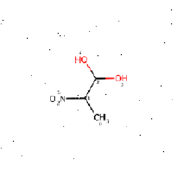 CC(C(O)O)[N+](=O)[O-]